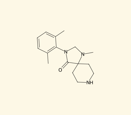 Cc1cccc(C)c1N1CN(C)C2(CCNCC2)C1=O